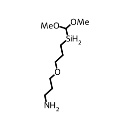 COC(OC)[SiH2]CCCOCCCN